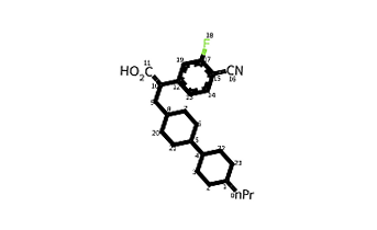 CCCC1CCC(C2CCC(CC(C(=O)O)c3ccc(C#N)c(F)c3)CC2)CC1